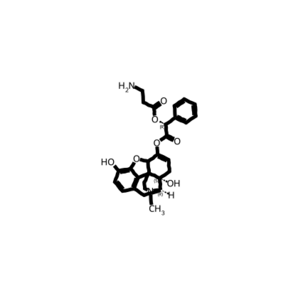 CN1CCC23c4c5ccc(O)c4OC2C(OC(=O)[C@H](OC(=O)CCN)c2ccccc2)=CC[C@@]3(O)[C@H]1C5